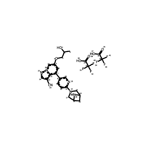 CC(O)COc1cc(-c2ccc(N3CC4CC(C3)N4)nc2)c2c(C#N)cnn2c1.O=C(O)C(F)(F)F.O=C(O)C(F)(F)F